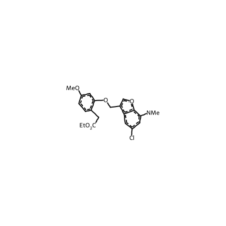 CCOC(=O)Cc1ccc(OC)cc1OCc1coc2c(NC)cc(Cl)cc12